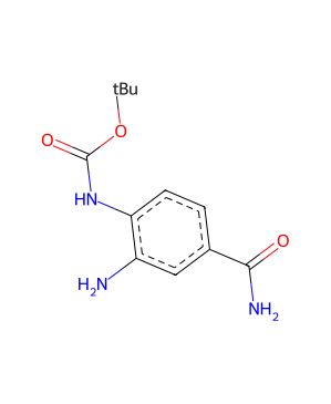 CC(C)(C)OC(=O)Nc1ccc(C(N)=O)cc1N